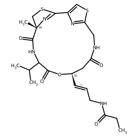 CCC(=O)NC/C=C/[C@@H]1CC(=O)NCc2nc(cs2)C2=N[C@@](C)(CS2)C(=O)NC(C(C)C)C(=O)O1